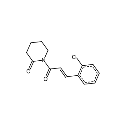 O=C(/C=C/c1ccccc1Cl)N1CCCCC1=O